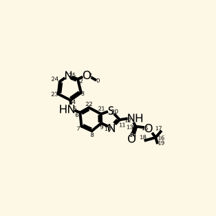 COc1cc(Nc2ccc3nc(NC(=O)OC(C)(C)C)sc3c2)ccn1